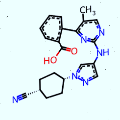 Cc1cnc(Nc2cnn([C@H]3CC[C@@H](C#N)CC3)c2)nc1-c1ccccc1C(=O)O